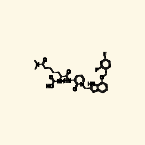 CN(C)C(=O)C=CCCC(NC(=O)O)C(=O)Nc1cccn(Cc2cc3cccc(OCc4ccc(F)cc4F)c3[nH]2)c1=O